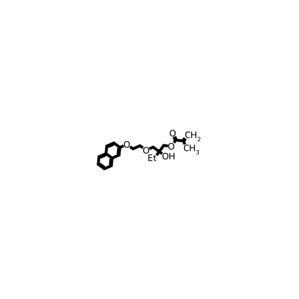 C=C(C)C(=O)OCC(O)(CC)COCCOc1ccc2ccccc2c1